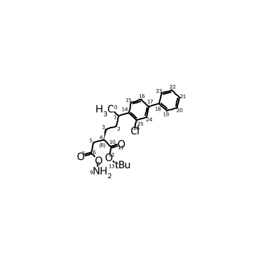 CC(CC[C@H](CC(=O)ON)C(=O)OC(C)(C)C)c1ccc(-c2ccccc2)cc1Cl